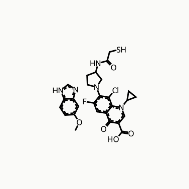 COc1ccc2[nH]cnc2c1.O=C(CS)NC1CCN(c2c(F)cc3c(=O)c(C(=O)O)cn(C4CC4)c3c2Cl)C1